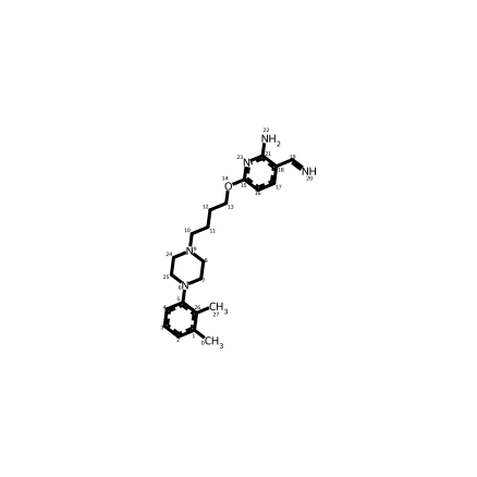 Cc1cccc(N2CCN(CCCCOc3ccc(C=N)c(N)n3)CC2)c1C